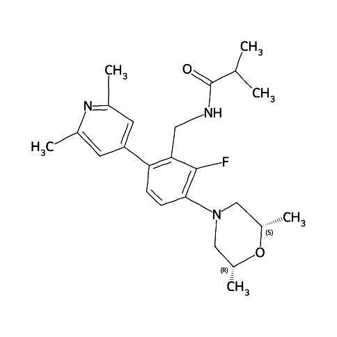 Cc1cc(-c2ccc(N3C[C@@H](C)O[C@@H](C)C3)c(F)c2CNC(=O)C(C)C)cc(C)n1